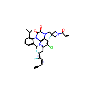 C#C/C=C\C(F)=C(\F)Cc1nc2c(cc1Cl)n(CC1(F)CN(C(=O)C=C)C1)c(=O)c(=O)n2-c1c(C(C)C)cccc1C(C)C